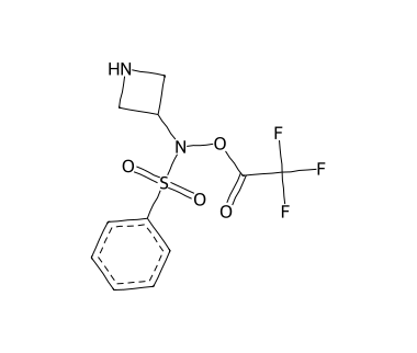 O=C(ON(C1CNC1)S(=O)(=O)c1ccccc1)C(F)(F)F